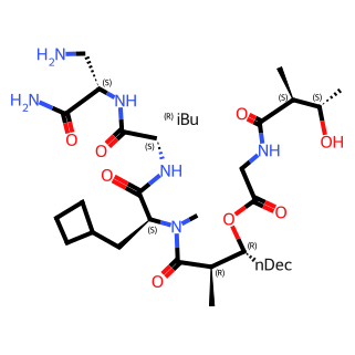 CCCCCCCCCC[C@@H](OC(=O)CNC(=O)[C@@H](C)[C@H](C)O)[C@@H](C)C(=O)N(C)[C@@H](CC1CCC1)C(=O)N[C@H](C(=O)N[C@@H](CN)C(N)=O)[C@H](C)CC